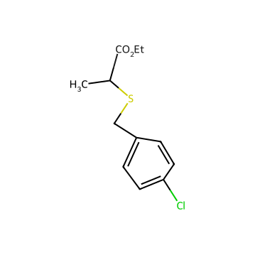 CCOC(=O)C(C)SCc1ccc(Cl)cc1